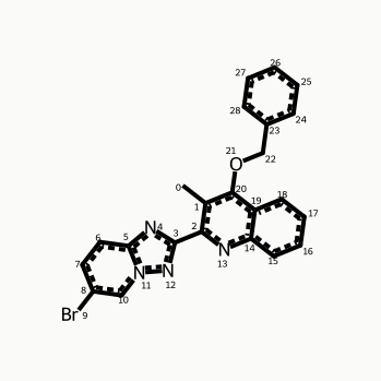 Cc1c(-c2nc3ccc(Br)cn3n2)nc2ccccc2c1OCc1ccccc1